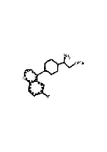 COCC(N)C1CCC(c2ccnc3ccc(F)cc23)CC1